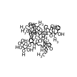 CC[C@H](C)[C@@H]([C@@H](CC(=O)N1CCC[C@H]1[C@H](OC)[C@@H](C)C(=O)N[C@H](C)[C@@H](O)c1ccccc1)OC)N(C)C(=O)[C@@H](NC(=O)[C@H](C(C)C)N(C)C(=O)OCc1ccc(O[C@@H]2O[C@H](C(=O)O)[C@@H](O)[C@H](O)[C@H]2O)c(NC(=O)CCNC(=O)C2(N3C(=O)C=CC3=O)CN(CC)C2)c1)C(C)C